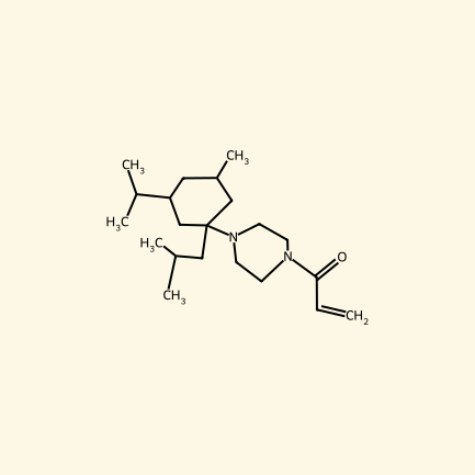 C=CC(=O)N1CCN(C2(CC(C)C)CC(C)CC(C(C)C)C2)CC1